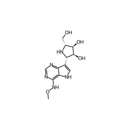 CONc1ncnc2c([C@@H]3N[C@H](CO)[C@@H](O)[C@H]3O)c[nH]c12